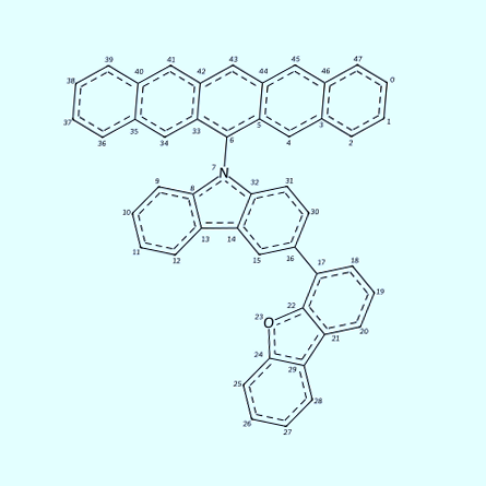 c1ccc2cc3c(-n4c5ccccc5c5cc(-c6cccc7c6oc6ccccc67)ccc54)c4cc5ccccc5cc4cc3cc2c1